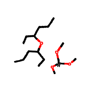 CCCC(CC)OC(CC)CCC.CO[SiH](OC)OC